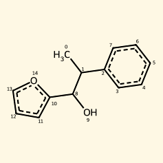 CC(c1ccccc1)C(O)c1ccco1